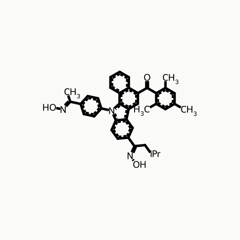 C/C(=N\O)c1ccc(-n2c3ccc(/C(CC(C)C)=N/O)cc3c3cc(C(=O)c4c(C)cc(C)cc4C)c4ccccc4c32)cc1